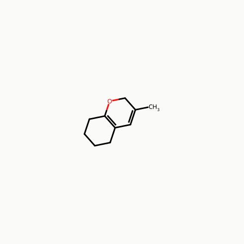 CC1=CC2=C(CCCC2)OC1